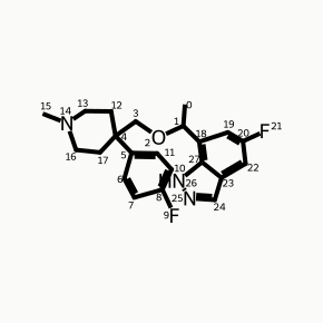 CC(OCC1(c2ccc(F)cc2)CCN(C)CC1)c1cc(F)cc2cn[nH]c12